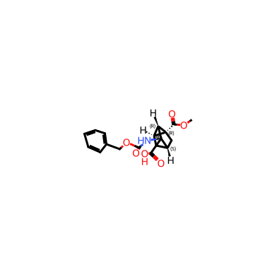 COC(=O)[C@]12C[C@@H]3C[C@H]1[C@H]2[C@@]3(NC(=O)OCc1ccccc1)C(=O)O